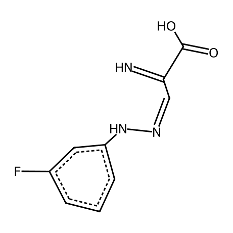 N=C(/C=N\Nc1cccc(F)c1)C(=O)O